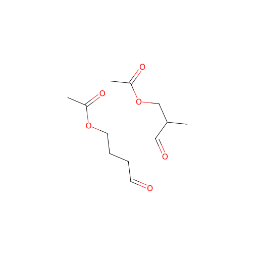 CC(=O)OCC(C)C=O.CC(=O)OCCCC=O